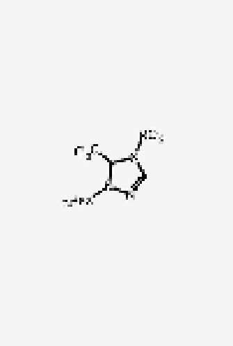 CCCCCCN1N=CN([N+](=O)[O-])C1C(Cl)(Cl)Cl